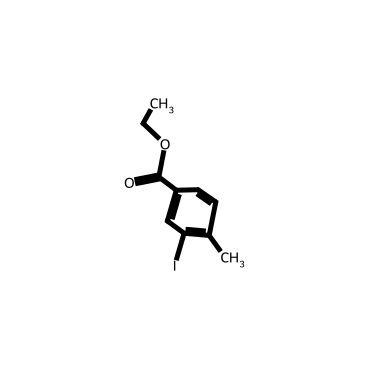 CCOC(=O)c1ccc(C)c(I)c1